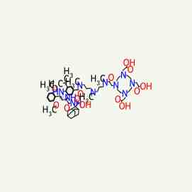 COc1cccc(OC)c1/C(=C/C(=N)C(=O)NC1(C(=O)O)C2CC3CC(C2)CC1C3)Nc1ccc(C(=O)N(C)CCCN(C)CCCN(C)C(=O)CN2CCN(CC(=O)O)CCN(CC(=O)O)CCN(CC(=O)O)CC2)cc1C(C)C